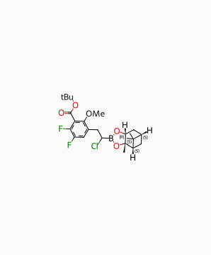 COc1c(CC(Cl)B2O[C@@H]3C[C@@H]4C[C@@H](C4(C)C)[C@]3(C)O2)cc(F)c(F)c1C(=O)OC(C)(C)C